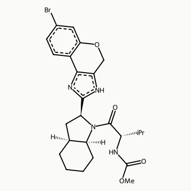 COC(=O)N[C@H](C(=O)N1[C@H](c2nc3c([nH]2)COc2cc(Br)ccc2-3)C[C@@H]2CCCC[C@@H]21)C(C)C